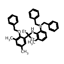 CCC(CC)(Pc1c(C)cccc1N(Cc1ccccc1)Cc1ccccc1)c1cc(C)cc(C)c1OCc1ccccc1